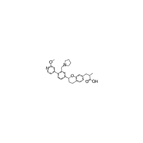 COc1cc(-c2ccc(C3CCc4ccc(CC(C)C(=O)O)cc4O3)cc2CN2CCCC2)ccn1